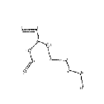 C=CC(O[C]=O)OCCCCC